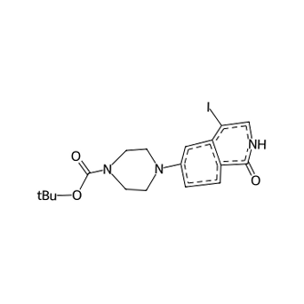 CC(C)(C)OC(=O)N1CCN(c2ccc3c(=O)[nH]cc(I)c3c2)CC1